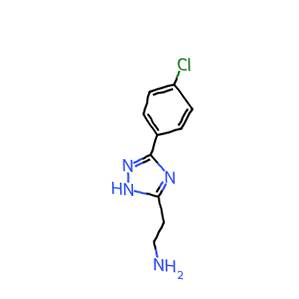 NCCc1nc(-c2ccc(Cl)cc2)n[nH]1